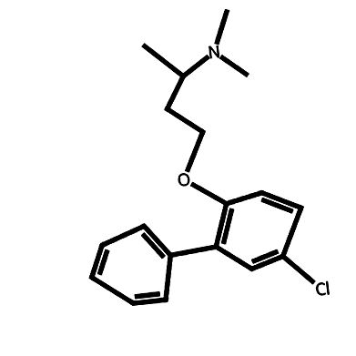 CC(CCOc1ccc(Cl)cc1-c1ccccc1)N(C)C